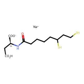 O=C(O)C[C@H](NC(=O)CCCCC(S)CCS)C(=O)[O-].[Na+]